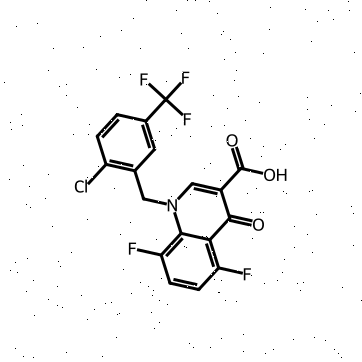 O=C(O)c1cn(Cc2cc(C(F)(F)F)ccc2Cl)c2c(F)ccc(F)c2c1=O